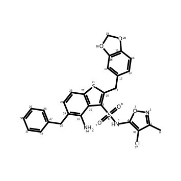 Cc1noc(NS(=O)(=O)c2c(Cc3ccc4c(c3)OCO4)sc3ccc(Cc4ccccc4)c(N)c23)c1Cl